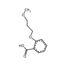 COCCCOc1ccccc1C(=O)O